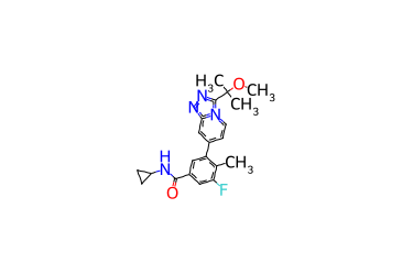 COC(C)(C)c1nnc2cc(-c3cc(C(=O)NC4CC4)cc(F)c3C)ccn12